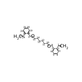 C=Cc1ccccc1COCCCCCCOCc1ccccc1C=C